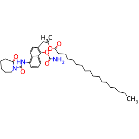 CCCCCCCCCCCCCCCCCC(=O)OC(C)Cc1ccc2c(NC(=O)N3CCCCCC3=O)cccc2c1OC(N)=O